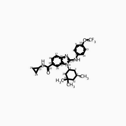 C[C@@H]1C[C@H](n2c(Nc3ccc(OC(F)(F)F)cc3)nc3ccc(C(=O)NC4CC4)cc32)CC(C)(C)C1